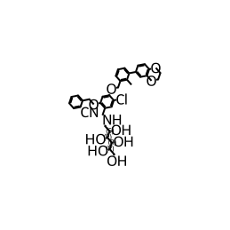 Cc1c(COc2cc(OCc3ccccc3C#N)c(CNC[C@H](O)[C@@H](O)[C@H](O)[C@H](O)CO)cc2Cl)cccc1-c1ccc2c(c1)OCCO2